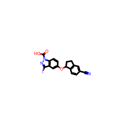 N#Cc1ccc2c(c1)CCC2Oc1ccc2c(c1)c(I)nn2C(=O)O